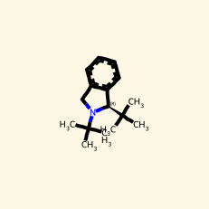 CC(C)(C)[C@@H]1c2ccccc2CN1C(C)(C)C